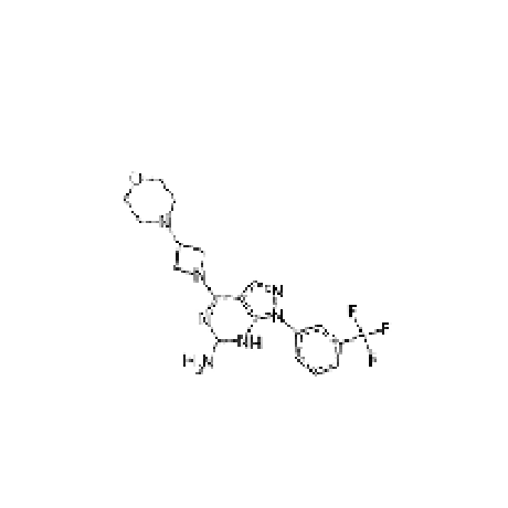 NC1N=C(N2CC(N3CCOCC3)C2)c2cnn(-c3cccc(C(F)(F)F)c3)c2N1